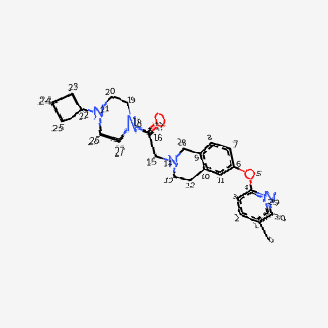 Cc1ccc(Oc2ccc3c(c2)CCN(CC(=O)N2CCN(C4CCC4)CC2)C3)nc1